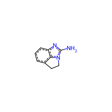 Nc1nc2cccc3c2n1CC3